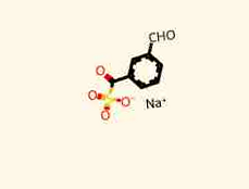 O=Cc1cccc(C(=O)S(=O)(=O)[O-])c1.[Na+]